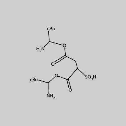 CCCCC(N)OC(=O)CC(C(=O)OC(N)CCCC)S(=O)(=O)O